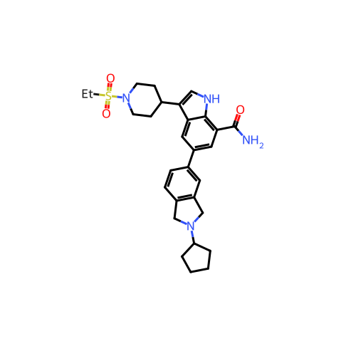 CCS(=O)(=O)N1CCC(c2c[nH]c3c(C(N)=O)cc(-c4ccc5c(c4)CN(C4CCCC4)C5)cc23)CC1